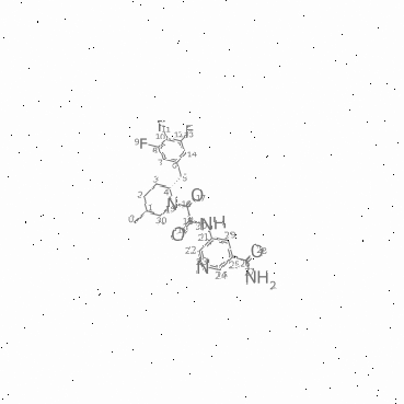 C[C@H]1CC[C@H](Cc2cc(F)c(F)c(F)c2)N(C(=O)C(=O)Nc2cncc(C(N)=O)c2)C1